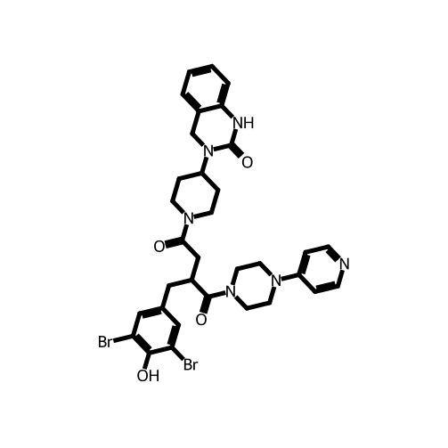 O=C(CC(Cc1cc(Br)c(O)c(Br)c1)C(=O)N1CCN(c2ccncc2)CC1)N1CCC(N2Cc3ccccc3NC2=O)CC1